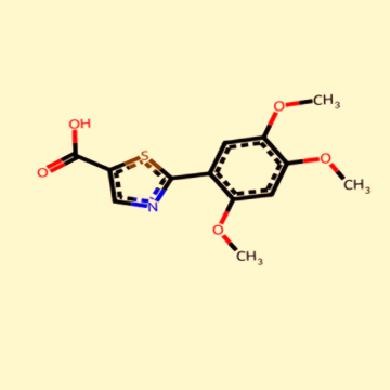 COc1cc(OC)c(-c2ncc(C(=O)O)s2)cc1OC